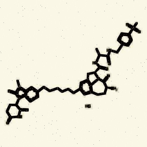 CC(NC(=O)[C@@H]1Cc2cc(CCCCCCc3ccc4c(c3)n(C)c(=O)n4C3CCC(=O)NC3=O)cc3c2N1C(=O)[C@@H](N)CC3)C(=O)NCc1ccc(S(C)(=O)=O)cc1.Cl